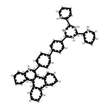 c1ccc(-c2nc(-c3ccc(-c4ccc(-c5nc6ccccc6c6c7ccccc7c7ccccc7c56)cc4)cc3)nc(-c3ccccn3)n2)nc1